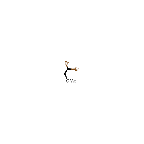 COCC(Br)Br